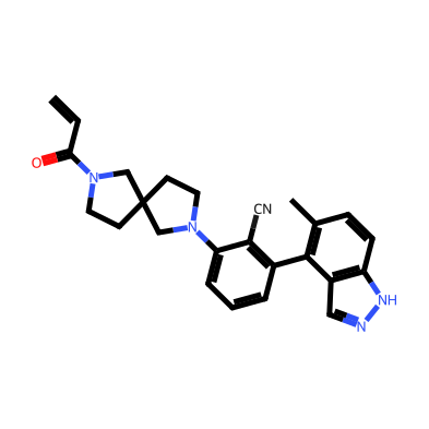 C=CC(=O)N1CCC2(CCN(c3cccc(-c4c(C)ccc5[nH]ncc45)c3C#N)C2)C1